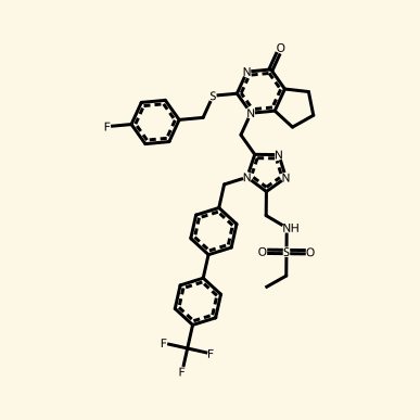 CCS(=O)(=O)NCc1nnc(Cn2c(SCc3ccc(F)cc3)nc(=O)c3c2CCC3)n1Cc1ccc(-c2ccc(C(F)(F)F)cc2)cc1